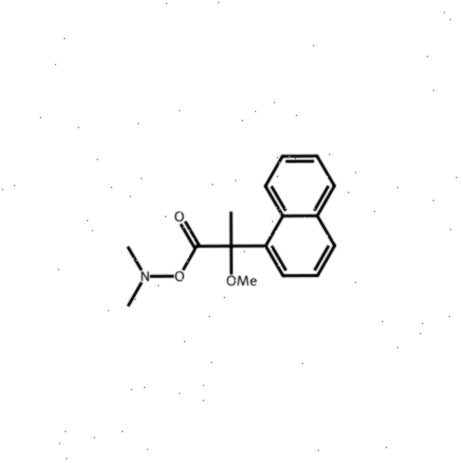 COC(C)(C(=O)ON(C)C)c1cccc2ccccc12